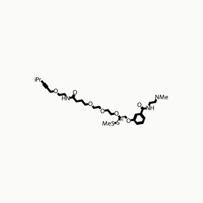 CNCCNC(=O)c1cccc(OC[C@H](OCCOCCOCCCC(=O)NCCOCC#CC(C)C)SSC)c1